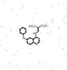 CCOC(=O)C(=CNc1ncnc2ccc(Oc3ccccc3)cc12)C(=O)OCC